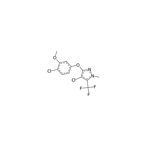 COc1cc(Oc2nn(C)c(C(F)(F)F)c2Cl)ccc1Cl